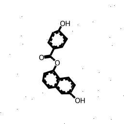 O=C(Oc1cccc2cc(O)ccc12)c1ccc(O)cc1